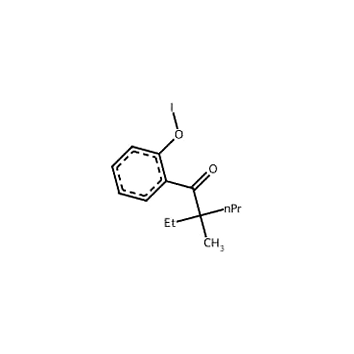 CCCC(C)(CC)C(=O)c1ccccc1OI